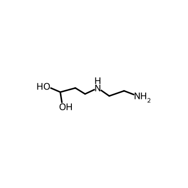 NCCNCCC(O)O